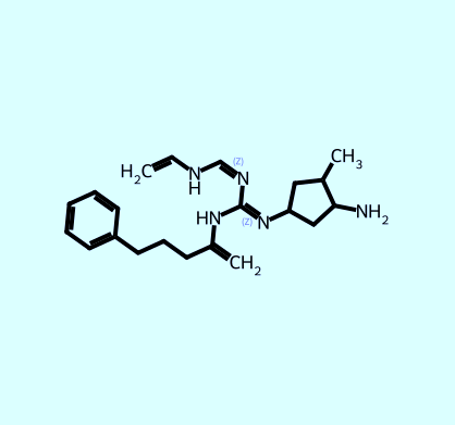 C=CN/C=N\C(=N/C1CC(C)C(N)C1)NC(=C)CCCc1ccccc1